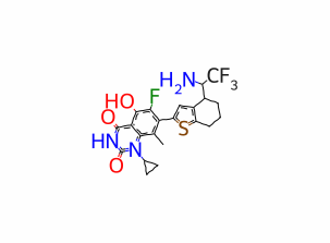 Cc1c(-c2cc3c(s2)CCCC3C(N)C(F)(F)F)c(F)c(O)c2c(=O)[nH]c(=O)n(C3CC3)c12